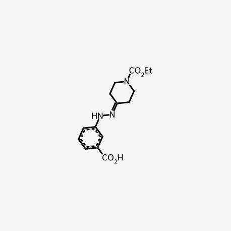 CCOC(=O)N1CCC(=NNc2cccc(C(=O)O)c2)CC1